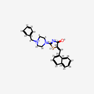 O=C1N=C(N2CCN(Cc3ccccc3)CC2)SC1=Cc1cccc2ccccc12